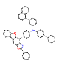 c1ccc(-c2ccc(N(c3ccc(-c4c5nc(-c6ccccc6)oc5cc5c4oc4ccccc45)cc3)c3cccc(-c4cccc5ccccc45)c3)cc2)cc1